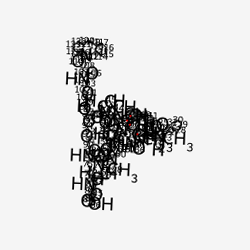 CC[C@H](C)[C@@H]([C@@H](CC(=O)N1CCC[C@H]1[C@H](OC)[C@@H](C)C(=O)N[C@H](C)[C@@H](O)c1ccccc1)OC)N(C)C(=O)[C@@H](NC(=O)[C@H](C(C)C)N(C)C(=O)OCc1ccc(NC(=O)[C@H](CCCNC(N)=O)NC(=O)[C@@H](NC(=O)[C@@H](CCCC(=O)NCCS(=O)(=O)O)NC(=O)CCOCCOCCOCCOCCNC(=O)CCC(=O)N2Cc3ccccc3C#Cc3ccccc32)C(C)C)cc1)C(C)C